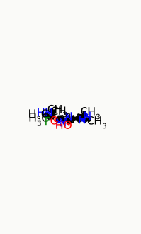 Cc1cn2cc(-c3cnc(-c4ccc(O[C@H]5CC(C)(C)NC(C)(C)[C@H]5F)nn4)c(O)c3)cc2c(C)n1